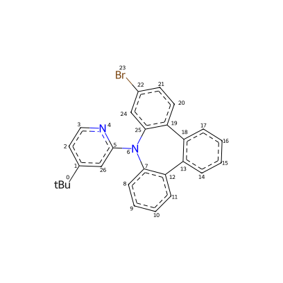 CC(C)(C)c1ccnc(N2c3ccccc3-c3ccccc3-c3ccc(Br)cc32)c1